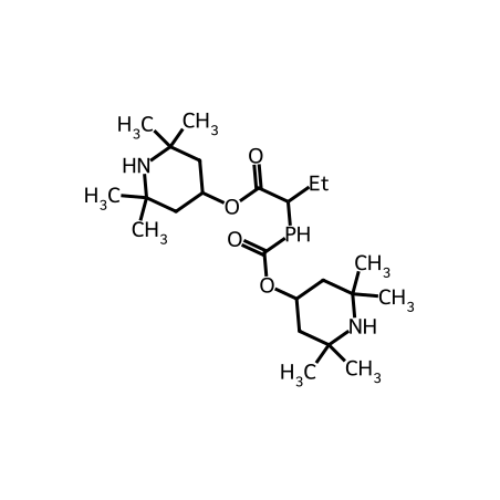 CCC(PC(=O)OC1CC(C)(C)NC(C)(C)C1)C(=O)OC1CC(C)(C)NC(C)(C)C1